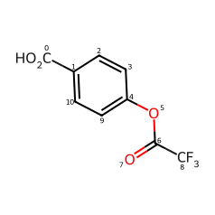 O=C(O)c1ccc(OC(=O)C(F)(F)F)cc1